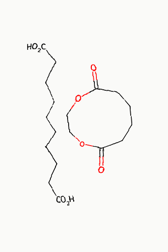 O=C(O)CCCCCCCCC(=O)O.O=C1CCCCC(=O)OCCO1